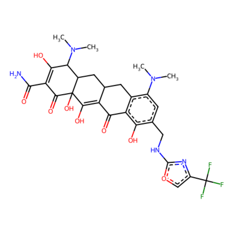 CN(C)c1cc(CNc2nc(C(F)(F)F)co2)c(O)c2c1CC1CC3C(N(C)C)C(O)=C(C(N)=O)C(=O)C3(O)C(O)=C1C2=O